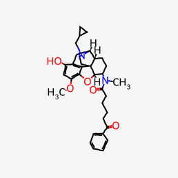 COc1cc(O)c2c3c1O[C@H]1[C@H](N(C)C(=O)CCCCC(=O)c4ccccc4)CC[C@H]4[C@@H](C2)N(CC2CC2)CC[C@@]341